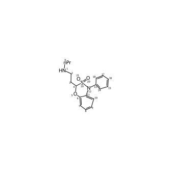 CCCNCCC1Oc2ccccc2N(c2ccccc2)S1(=O)=O